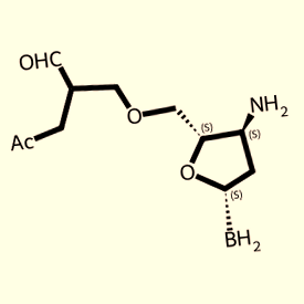 B[C@H]1C[C@H](N)[C@@H](COCC(C=O)CC(C)=O)O1